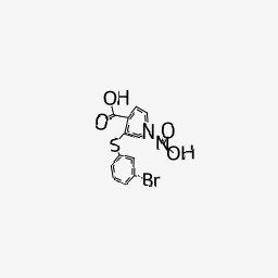 O=C(O)c1ccncc1Sc1cccc(Br)c1.O=NO